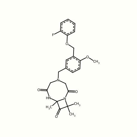 COc1ccc(CN2CC(=O)NC3(C)C(=O)C(C)(C)N3C(=O)C2)cc1COc1ccccc1F